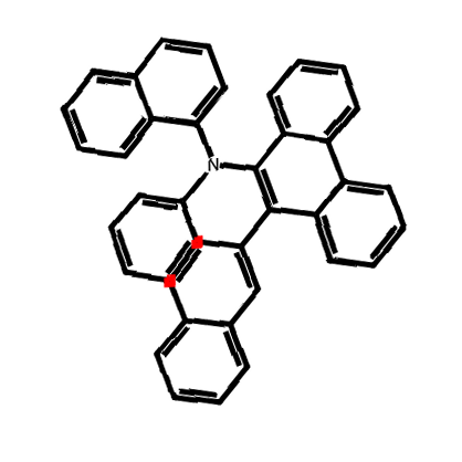 c1ccc(N(c2cccc3ccccc23)c2c(-c3ccc4ccccc4c3)c3ccccc3c3ccccc23)cc1